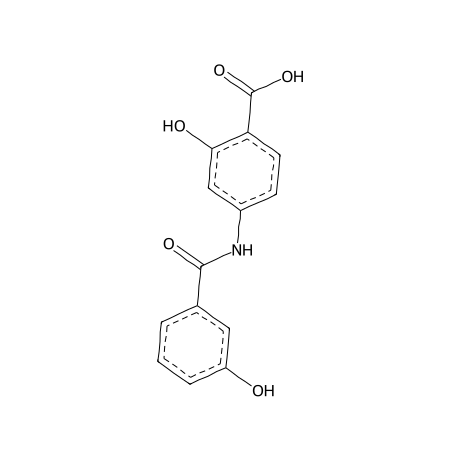 O=C(Nc1ccc(C(=O)O)c(O)c1)c1cccc(O)c1